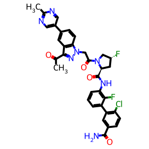 CC(=O)c1nn(CC(=O)N2C[C@H](F)C[C@H]2C(=O)Nc2cccc(-c3cc(C(N)=O)ccc3Cl)c2F)c2ccc(-c3cnc(C)nc3)cc12